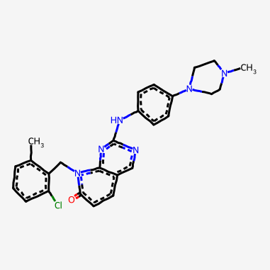 Cc1cccc(Cl)c1Cn1c(=O)ccc2cnc(Nc3ccc(N4CCN(C)CC4)cc3)nc21